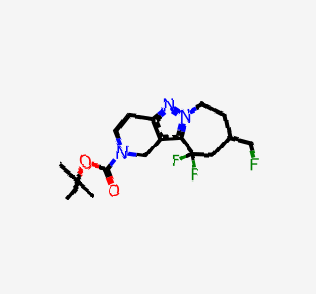 CC(C)(C)OC(=O)N1CCc2nn3c(c2C1)C(F)(F)CC(CF)CC3